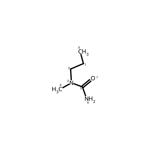 CCCN(C)C(N)=O